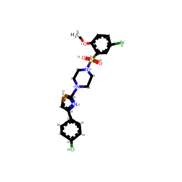 COc1ccc(Br)cc1S(=O)(=O)N1CCN(c2nc(-c3ccc(Cl)cc3)cs2)CC1